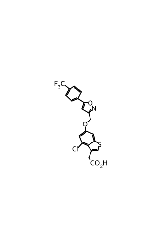 O=C(O)Cc1csc2cc(OCc3cc(-c4ccc(C(F)(F)F)cc4)on3)cc(Cl)c12